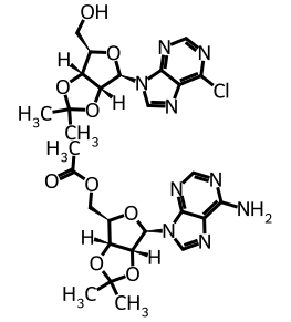 CC(=O)OC[C@H]1O[C@@H](n2cnc3c(N)ncnc32)[C@@H]2OC(C)(C)O[C@@H]21.CC1(C)O[C@@H]2[C@H](O1)[C@@H](CO)O[C@H]2n1cnc2c(Cl)ncnc21